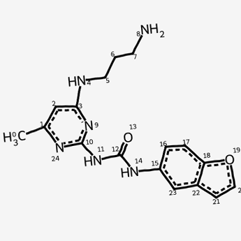 Cc1cc(NCCCN)nc(NC(=O)Nc2ccc3occc3c2)n1